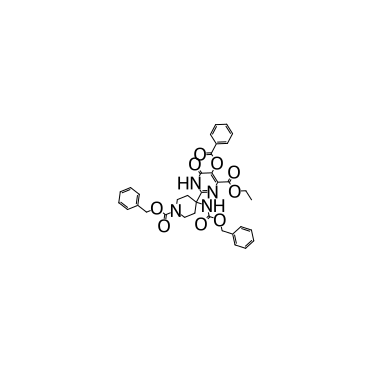 CCOC(=O)c1nc(C2(NC(=O)OCc3ccccc3)CCN(C(=O)OCc3ccccc3)CC2)[nH]c(=O)c1OC(=O)c1ccccc1